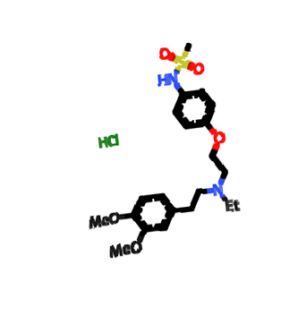 CCN(CCOc1ccc(NS(C)(=O)=O)cc1)CCc1ccc(OC)c(OC)c1.Cl